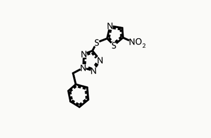 O=[N+]([O-])c1cnc(Sc2nnn(Cc3ccccc3)n2)s1